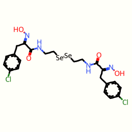 O=C(NCC[Se][Se]CCNC(=O)/C(Cc1ccc(Cl)cc1)=N/O)/C(Cc1ccc(Cl)cc1)=N/O